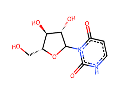 O=c1cc[nH]c(=O)n1C1O[C@H](CO)[C@@H](O)[C@@H]1O